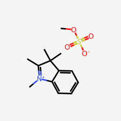 CC1=[N+](C)c2ccccc2C1(C)C.COS(=O)(=O)[O-]